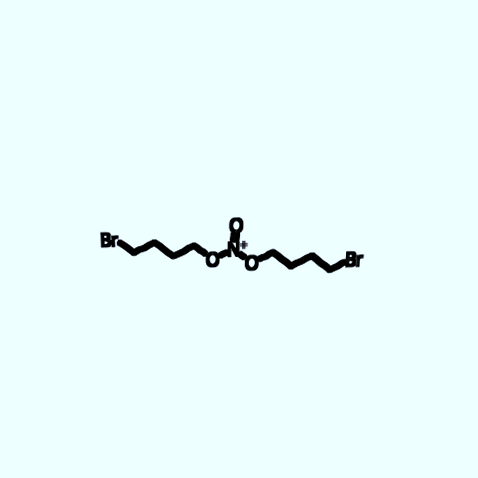 O=[N+](OCCCCBr)OCCCCBr